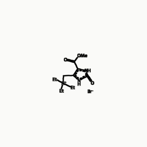 CC[N+](CC)(CC)Cc1[nH]c(=O)[nH]c1C(=O)OC.[Br-]